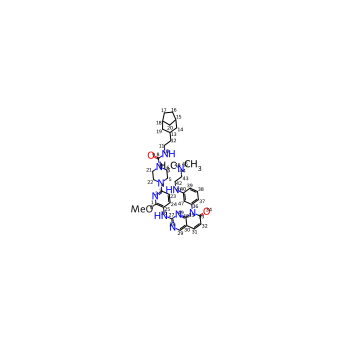 COc1nc(N2CCN(C(=O)NCCC3CC4CCC(C3)C4)CC2)ccc1Nc1ncc2ccc(=O)n(-c3cccc(NCCN(C)C)c3)c2n1